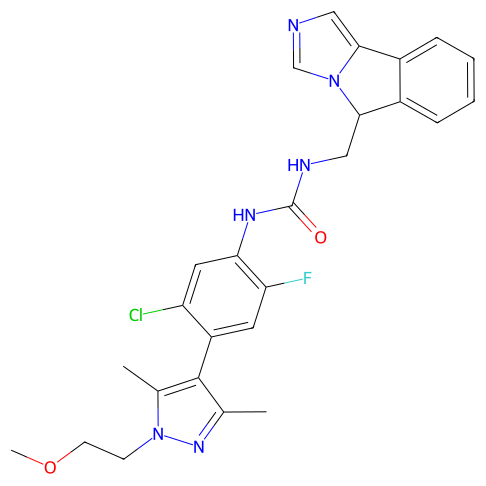 COCCn1nc(C)c(-c2cc(F)c(NC(=O)NCC3c4ccccc4-c4cncn43)cc2Cl)c1C